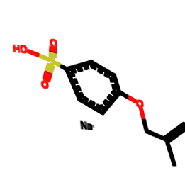 C=C(C)COc1ccc(S(=O)(=O)O)cc1.[Na]